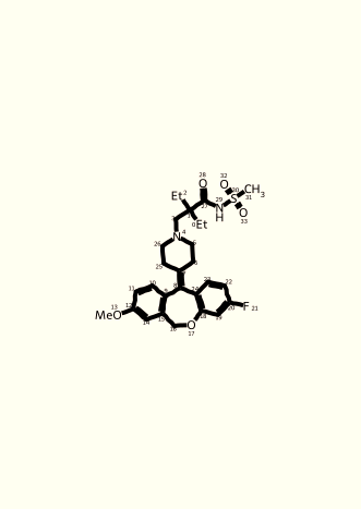 CCC(CC)(CN1CCC(=C2c3ccc(OC)cc3COc3cc(F)ccc32)CC1)C(=O)NS(C)(=O)=O